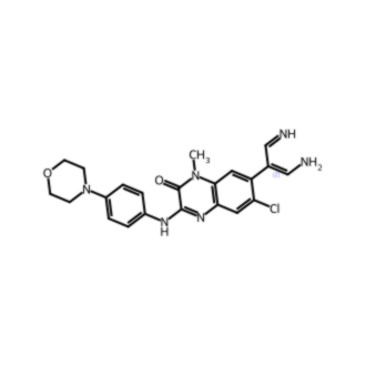 Cn1c(=O)c(Nc2ccc(N3CCOCC3)cc2)nc2cc(Cl)c(/C(C=N)=C/N)cc21